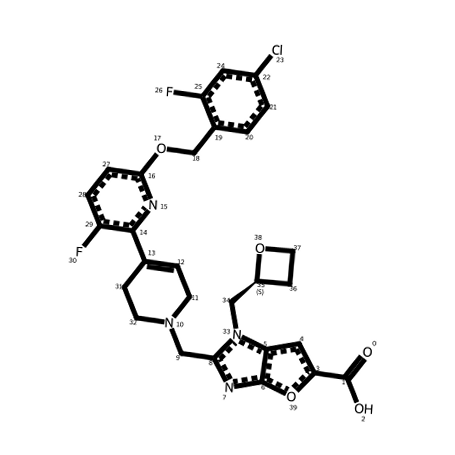 O=C(O)c1cc2c(nc(CN3CC=C(c4nc(OCc5ccc(Cl)cc5F)ccc4F)CC3)n2C[C@@H]2CCO2)o1